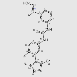 C/C(=N\O)c1cccc(NC(=O)Nc2ccc(C)c(-c3c(Br)cnn3C)c2)c1